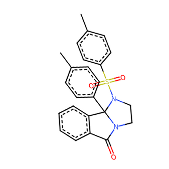 Cc1ccc(C23c4ccccc4C(=O)N2CCN3S(=O)(=O)c2ccc(C)cc2)cc1